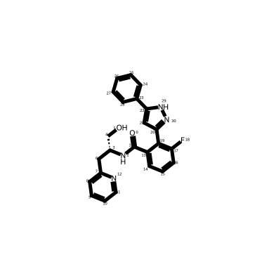 O=C(N[C@@H](CO)Cc1ccccn1)c1cccc(F)c1-c1cc(-c2ccccc2)[nH]n1